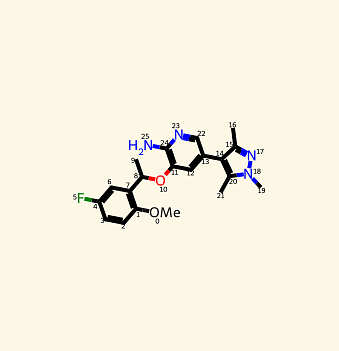 COc1ccc(F)cc1C(C)Oc1cc(-c2c(C)nn(C)c2C)cnc1N